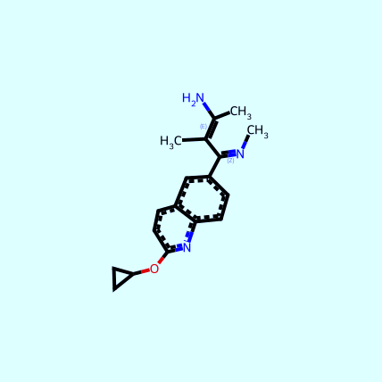 C/N=C(\C(C)=C(/C)N)c1ccc2nc(OC3CC3)ccc2c1